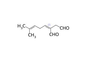 CC(C)=CC/C=C(\C=O)CC=O